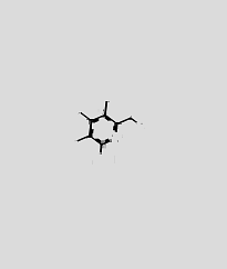 CC(=O)Cc1nc([SiH3])c(C)c(C)c1C